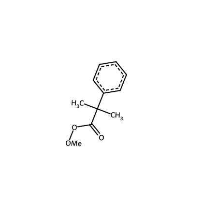 COOC(=O)C(C)(C)c1ccccc1